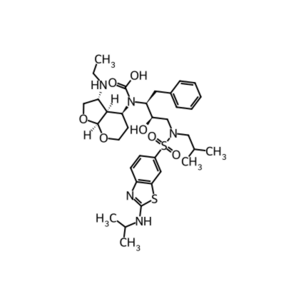 CCN[C@H]1CO[C@@H]2OCC[C@H](N(C(=O)O)[C@@H](Cc3ccccc3)[C@H](O)CN(CC(C)C)S(=O)(=O)c3ccc4nc(NC(C)C)sc4c3)[C@@H]21